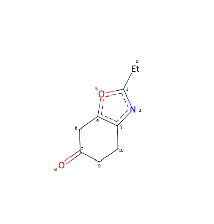 CCc1nc2c(o1)CC(=O)CC2